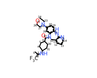 C[C@@H](NC1CCC(C(=O)N2Cc3cccnc3Nc3ccc(N4CCOCC4)cc32)CC1)C(F)(F)F